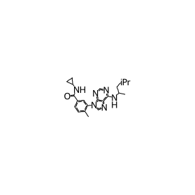 Cc1ccc(C(=O)NC2CC2)cc1-n1cnc2c(NC(C)CC(C)C)ncnc21